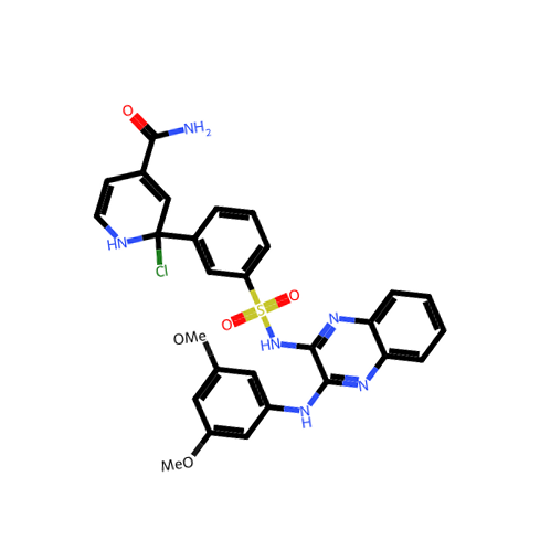 COc1cc(Nc2nc3ccccc3nc2NS(=O)(=O)c2cccc(C3(Cl)C=C(C(N)=O)C=CN3)c2)cc(OC)c1